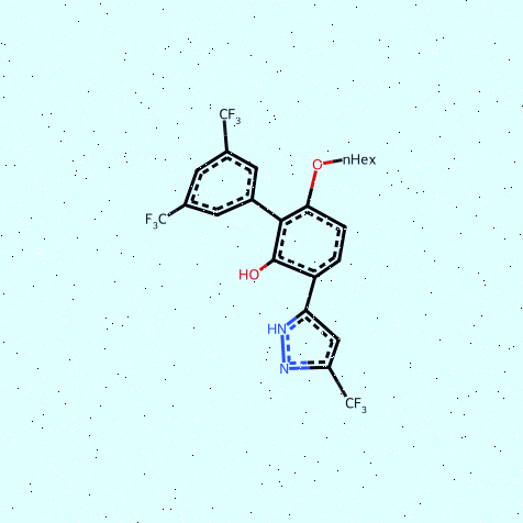 CCCCCCOc1ccc(-c2cc(C(F)(F)F)n[nH]2)c(O)c1-c1cc(C(F)(F)F)cc(C(F)(F)F)c1